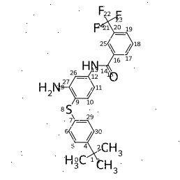 CC(C)(C)c1ccc(Sc2ccc(NC(=O)c3cccc(C(F)(F)F)c3)cc2N)cc1